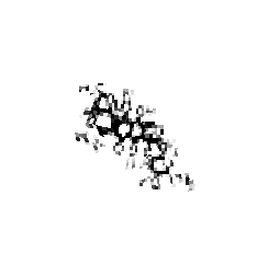 C=C1C[C@@H]2O[C@@H](C)C3=C(C(O)c4c(O)c5c(c(O)c4C3=O)C3(O)C(C)OC5CC3O[C@H]3CC[C@H](O)[C@H](C)O3)[C@@H]2O1